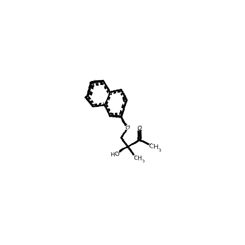 CC(=O)C(C)(O)COc1ccc2ccccc2c1